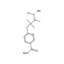 COC(=O)c1ccc(CC(C)(C)N(C)[S@+]([O-])C(C)(C)C)nc1